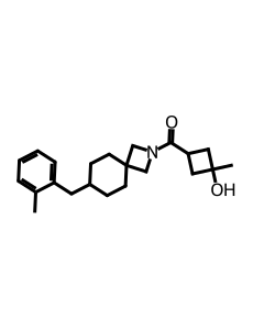 Cc1ccccc1CC1CCC2(CC1)CN(C(=O)C1CC(C)(O)C1)C2